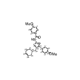 COc1ccc(C(=O)Nc2nc(-c3ccc(OC)cc3)c(CC3C=CC=CC3)s2)cc1